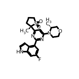 C[C@@H]1COCCN1c1cc([C@]2(C)CCCS2(=O)=O)nc(-c2cc(F)cc3[nH]ccc23)n1